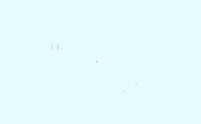 N#Cc1ccc(-c2cc(COCC3(c4ccccc4)CCNCC3)cc(C(=O)N3CCCCC3)c2)cc1